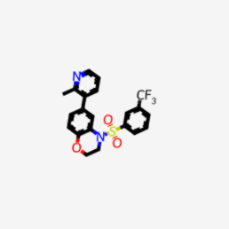 Cc1ncccc1-c1ccc2c(c1)N(S(=O)(=O)c1cccc(C(F)(F)F)c1)CCO2